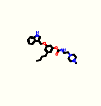 CCCCc1cc(OCc2c[nH]c3ccccc23)cc(OC(=O)NCCN2CCN(C)CC2)c1